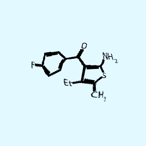 CCc1c(C)sc(N)c1C(=O)c1ccc(F)cc1